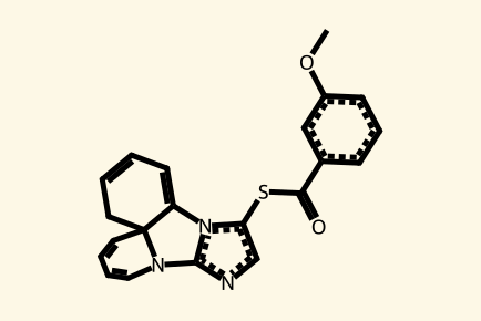 COc1cccc(C(=O)Sc2cnc3n2C2=CC=CCC24C=CC=CN34)c1